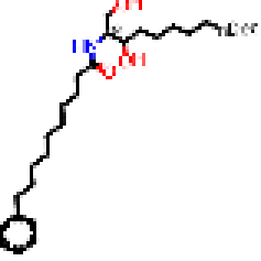 CCCCCCCCCCCCCCCC(O)[C@H](CO)NC(=O)CCCCCCCCCc1ccccc1